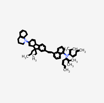 C=C/C=C\C(=C(C)C)N(C(/C=C\C=C)=C(C)C)c1cccc2c(/C=C/c3ccc4c(c3)C(CC)(CCC)C3C=C(N5CCCC6=C5CCC=C6)C=CC43)cccc12